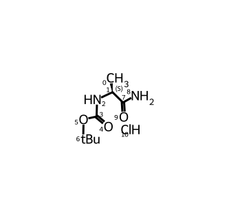 C[C@H](NC(=O)OC(C)(C)C)C(N)=O.Cl